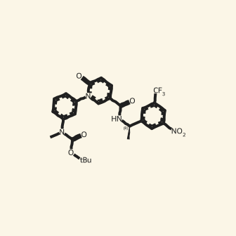 C[C@@H](NC(=O)c1ccc(=O)n(-c2cccc(N(C)C(=O)OC(C)(C)C)c2)c1)c1cc([N+](=O)[O-])cc(C(F)(F)F)c1